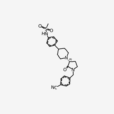 CS(=O)(=O)Nc1ccc(C2CCN([C@@H]3CCN(Cc4ccc(C#N)cc4)C3=O)CC2)cc1